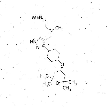 CNCCN(C)Cc1c[nH]nc1C1CCC(OC2CC(C)(C)OC(C)(C)C2)CC1